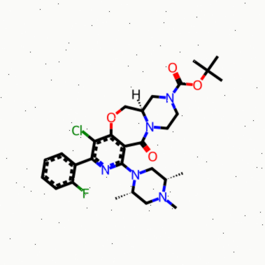 C[C@H]1CN(c2nc(-c3ccccc3F)c(Cl)c3c2C(=O)N2CCN(C(=O)OC(C)(C)C)C[C@@H]2CO3)[C@@H](C)CN1C